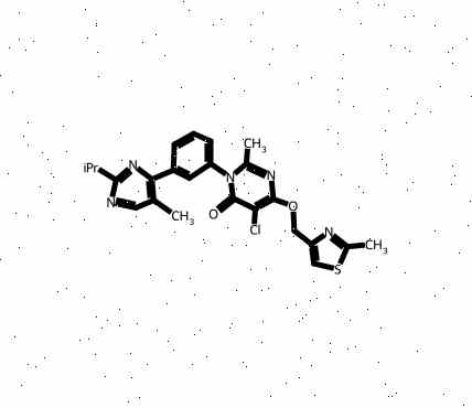 Cc1nc(COc2nc(C)n(-c3cccc(-c4nc(C(C)C)ncc4C)c3)c(=O)c2Cl)cs1